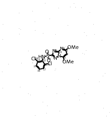 COc1cc(OC)n2nc(S(=O)(=O)Nc3c(Cl)cccc3Cl)nc2n1